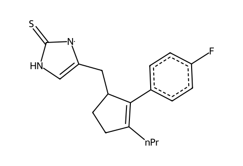 CCCC1=C(c2ccc(F)cc2)C(CC2=CNC(=S)[N]2)CC1